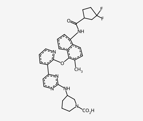 Cc1ccc2c(NC(=O)C3CCC(F)(F)C3)cccc2c1Oc1ncccc1-c1ccnc(NC2CCCN(C(=O)O)C2)n1